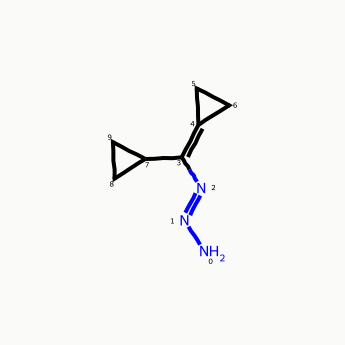 NN=NC(=C1CC1)C1CC1